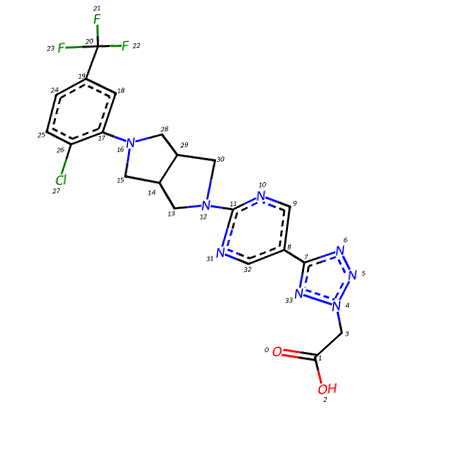 O=C(O)Cn1nnc(-c2cnc(N3CC4CN(c5cc(C(F)(F)F)ccc5Cl)CC4C3)nc2)n1